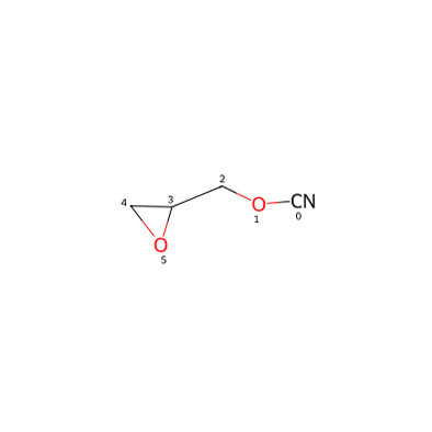 N#COCC1CO1